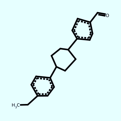 CCc1ccc(C2CCC(c3ccc(C=O)cc3)CC2)cc1